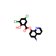 O=C(Oc1ccc(I)c2cccnc12)c1cc(Cl)cc(Cl)c1O